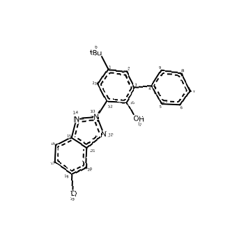 CC(C)(C)c1cc(-c2ccccc2)c(O)c(-n2nc3ccc(Cl)cc3n2)c1